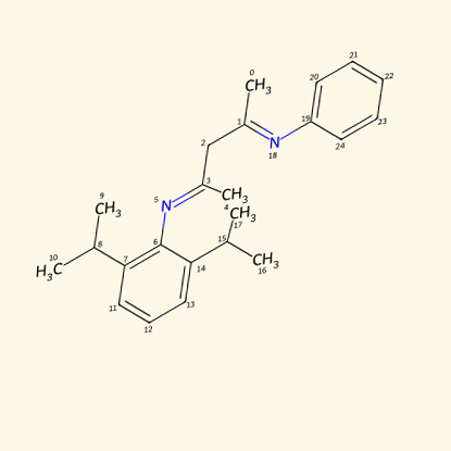 CC(CC(C)=Nc1c(C(C)C)cccc1C(C)C)=Nc1ccccc1